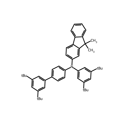 CC(C)(C)c1cc(-c2ccc(N(c3cc(C(C)(C)C)cc(C(C)(C)C)c3)c3ccc4c(c3)C(C)(C)c3ccccc3-4)cc2)cc(C(C)(C)C)c1